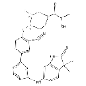 CC(O)C(=O)N1CC[C@H](Oc2ccc(-c3ncnc(Nc4ccc5c(c4)NC(=O)C5(C)C)n3)cc2C#N)[C@H](F)C1